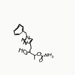 CC(OC(N)=O)C(O)Cc1cn(Cc2ccccc2)nn1